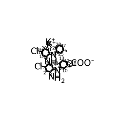 Nc1cc(Cl)ccc1Nc1ccccc1.Nc1cc(Cl)ccc1Nc1ccccc1.O=C([O-])[O-].[K+].[K+]